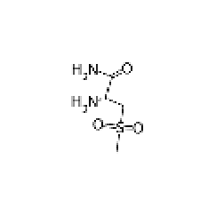 CS(=O)(=O)C[C@H](N)C(N)=O